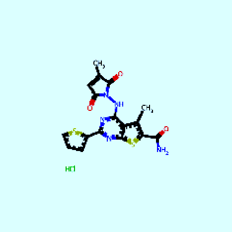 CC1=CC(=O)N(Nc2nc(-c3cccs3)nc3sc(C(N)=O)c(C)c23)C1=O.Cl